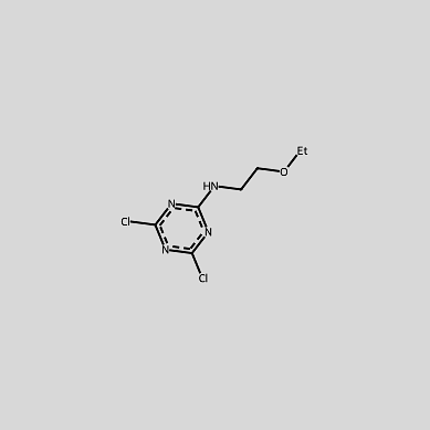 CCOCCNc1nc(Cl)nc(Cl)n1